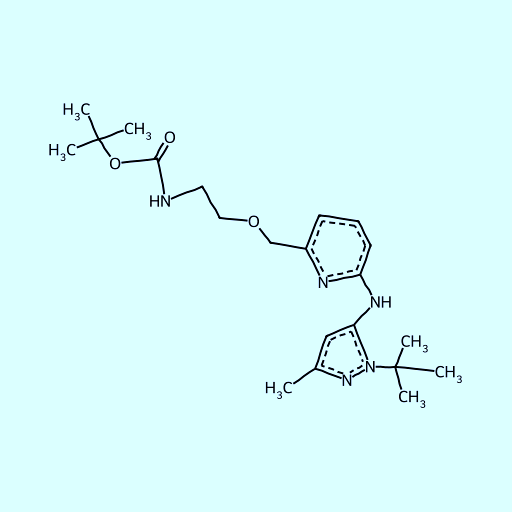 Cc1cc(Nc2cccc(COCCNC(=O)OC(C)(C)C)n2)n(C(C)(C)C)n1